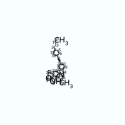 CCCCc1ccc(C#Cc2ccc(CN(CC(C)C)c3ccc(F)c(C(=O)O)c3)cc2)cc1